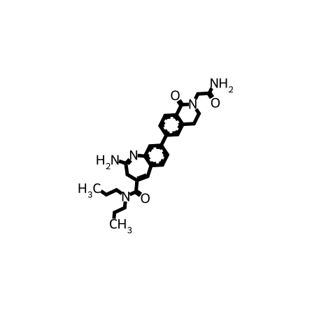 CCCN(CCC)C(=O)C1=Cc2ccc(-c3ccc4c(c3)CCN(CC(N)=O)C4=O)cc2N=C(N)C1